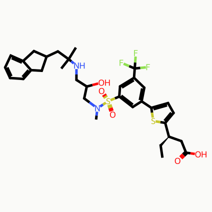 CC[C@H](CC(=O)O)c1ccc(-c2cc(C(F)(F)F)cc(S(=O)(=O)N(C)CC(O)CNC(C)(C)CC3Cc4ccccc4C3)c2)s1